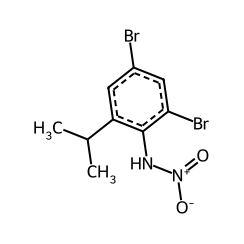 CC(C)c1cc(Br)cc(Br)c1N[N+](=O)[O-]